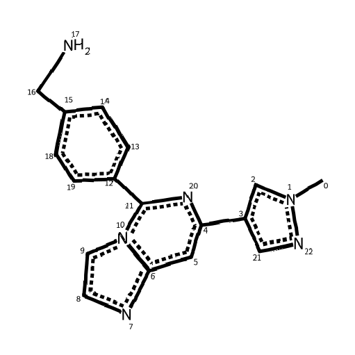 Cn1cc(-c2cc3nccn3c(-c3ccc(CN)cc3)n2)cn1